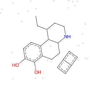 CCC1CCNC2CCc3c(ccc(O)c3O)C12.c1cc2ccc1-2